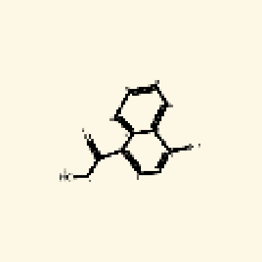 O=C(CO)c1ccc(F)c2ccccc12